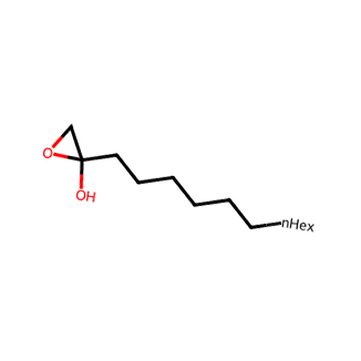 CCCCCCCCCCCCC1(O)CO1